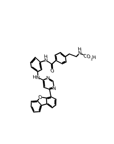 O=C(O)NCCc1ccc(C(=O)Nc2cccc(Nc3cc(-c4cccc5c4oc4ccccc45)ncn3)c2)cc1